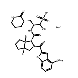 COc1cccc2[nH]c(C(=O)N3C[C@@H]4CCC[C@@H]4[C@H]3C(=O)N[C@@H](C[C@@H]3CCCNC3=O)C(O)S(=O)(=O)[O-])cc12.[Na+]